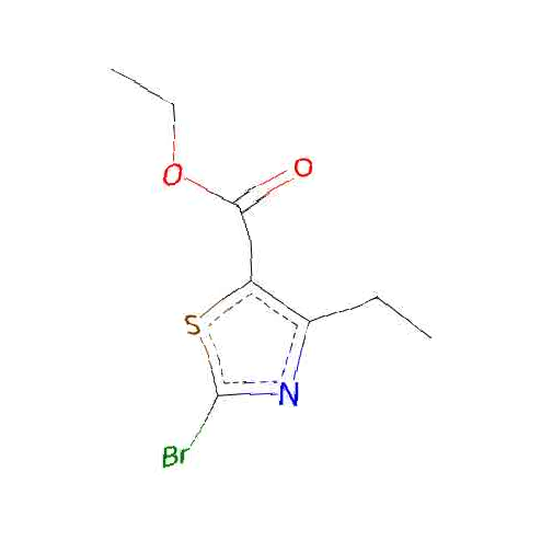 CCOC(=O)c1sc(Br)nc1CC